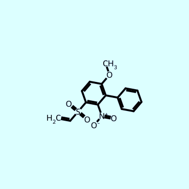 C=CS(=O)(=O)c1ccc(OC)c(-c2ccccc2)c1[N+](=O)[O-]